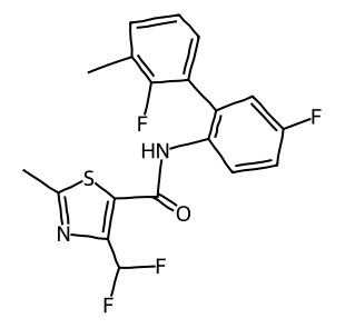 Cc1nc(C(F)F)c(C(=O)Nc2ccc(F)cc2-c2cccc(C)c2F)s1